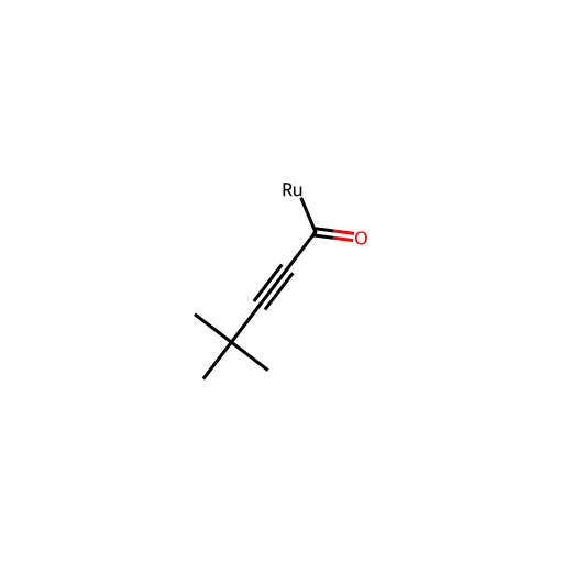 CC(C)(C)C#C[C](=O)[Ru]